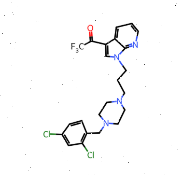 O=C(c1cn(CCCN2CCN(Cc3ccc(Cl)cc3Cl)CC2)c2ncccc12)C(F)(F)F